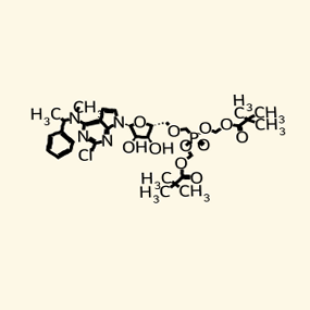 CC(c1ccccc1)N(C)c1nc(Cl)nc2c1ccn2[C@@H]1O[C@H](COCP(=O)(OCOC(=O)C(C)(C)C)OCOC(=O)C(C)(C)C)[C@@H](O)[C@H]1O